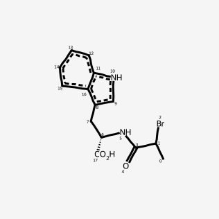 CC(Br)C(=O)N[C@@H](Cc1c[nH]c2ccccc12)C(=O)O